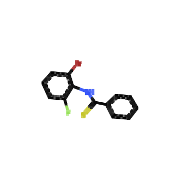 Fc1cccc(Br)c1NC(=S)c1ccccc1